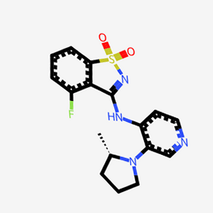 C[C@H]1CCCN1c1cnccc1NC1=NS(=O)(=O)c2cccc(F)c21